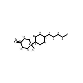 CCCCCC1CCC([Si]2(C)CCC(=O)CC2)CC1